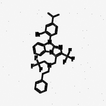 CC(C)c1ccc(-n2c3ccccc3n3c(CN(CCc4ccccc4)CC(F)(F)F)c(C(F)(F)F)nc23)c(Br)c1